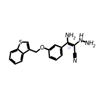 N#C/C(NN)=C(/N)c1cccc(OCc2csc3ccccc23)c1